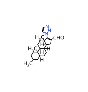 C[C@H]1CC[C@@]2(C)[C@@H](CC[C@@H]3[C@@H]2CC[C@]2(C)C(n4ccnn4)=C(C=O)C[C@@H]32)C1